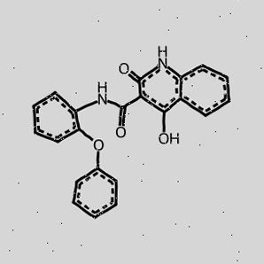 O=C(Nc1ccccc1Oc1ccccc1)c1c(O)c2ccccc2[nH]c1=O